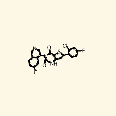 O=c1[nH]c2cc(-c3ccc(F)cc3Cl)sc2c(=O)n1-c1cncc2ccc(F)cc12